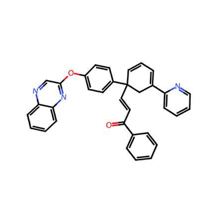 O=C(C=CC1(c2ccc(Oc3cnc4ccccc4n3)cc2)C=CC=C(c2ccccn2)C1)c1ccccc1